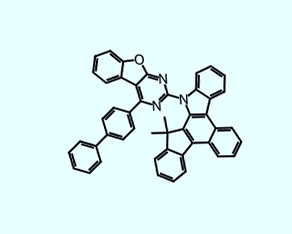 CC1(C)c2ccccc2-c2c1c1c(c3ccccc23)c2ccccc2n1-c1nc(-c2ccc(-c3ccccc3)cc2)c2c(n1)oc1ccccc12